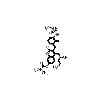 CCCN(C)Cc1c(Cc2cccc(NS(=O)(=O)NC)c2F)c(=O)oc2cc(OC(=O)N(C)C)ccc12